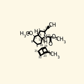 C#CC1C[C@H]2[C@@H](OC)CCC[C@H]2N1C(=O)OC.Cc1cc2ccc1-2